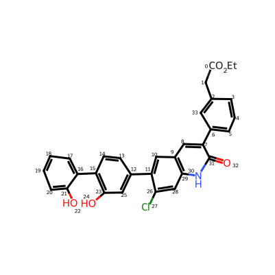 CCOC(=O)Cc1cccc(-c2cc3cc(-c4ccc(-c5ccccc5O)c(O)c4)c(Cl)cc3[nH]c2=O)c1